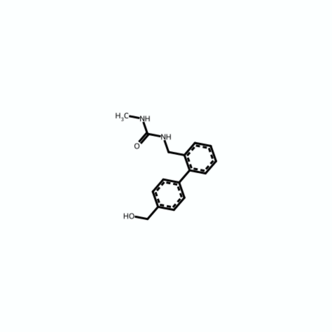 CNC(=O)NCc1ccccc1-c1ccc(CO)cc1